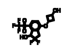 O=S(=O)(c1ccc(O[C@H]2C[C@H](O)C2)c2c1C(O)C(F)(F)C2)C(F)(F)F